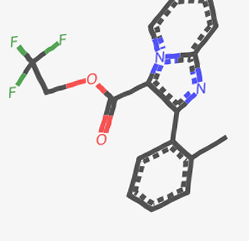 Cc1ccccc1-c1nc2ccccn2c1C(=O)OCC(F)(F)F